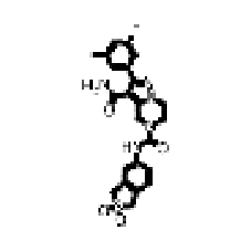 Cc1cc(F)cc(-c2nn3c(c2C(N)=O)CN(C(=O)Nc2ccc4c(c2)CS(=O)(=O)C4)CC3)c1